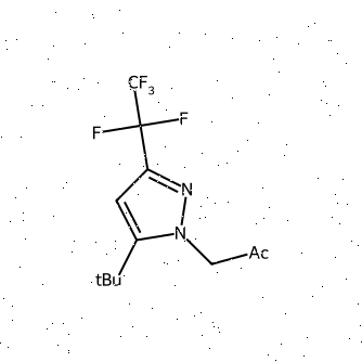 CC(=O)Cn1nc(C(F)(F)C(F)(F)F)cc1C(C)(C)C